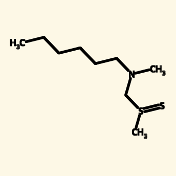 CCCCCCN(C)CS(C)=S